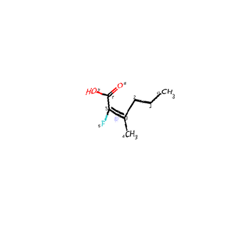 CCC/C(C)=C(/F)C(=O)O